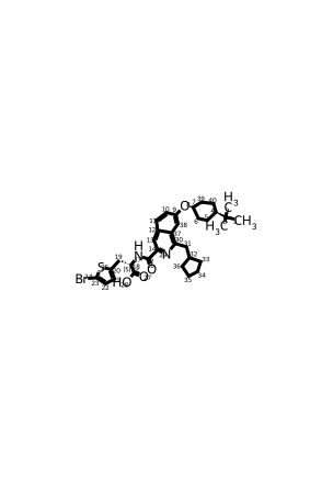 CC(C)(C)[C@H]1CC[C@H](Oc2ccc3cc(C(=O)N[C@@H](Cc4ccc(Br)s4)C(=O)O)nc(CC4CCCC4)c3c2)CC1